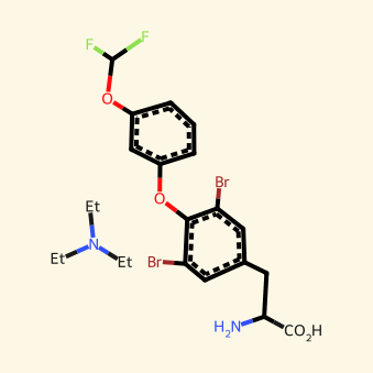 CCN(CC)CC.NC(Cc1cc(Br)c(Oc2cccc(OC(F)F)c2)c(Br)c1)C(=O)O